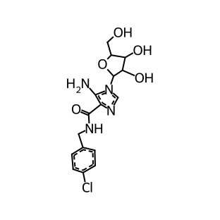 Nc1c(C(=O)NCc2ccc(Cl)cc2)ncn1C1OC(CO)C(O)C1O